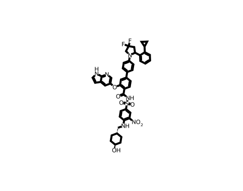 O=C(NS(=O)(=O)c1ccc(NC[C@H]2CC[C@H](O)CC2)c([N+](=O)[O-])c1)c1ccc(-c2ccc(N3CC(F)(F)CC3c3ccccc3C3CC3)cc2)cc1Oc1cnc2[nH]ccc2c1